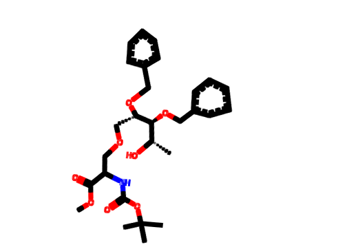 COC(=O)C(COC[C@H](OCc1ccccc1)[C@@H](OCc1ccccc1)[C@H](C)O)NC(=O)OC(C)(C)C